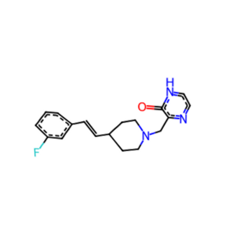 O=c1[nH]ccnc1CN1CCC(C=Cc2cccc(F)c2)CC1